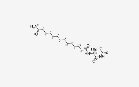 NC(=O)CCCCCCCCCCCCC(=O)NC1NCC(=O)NC1=O